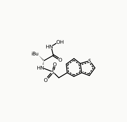 CC[C@@H](C)[C@@H](NS(=O)(=O)Cc1ccc2sccc2c1)C(=O)NO